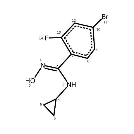 O/N=C(\NC1CC1)c1ccc(Br)cc1F